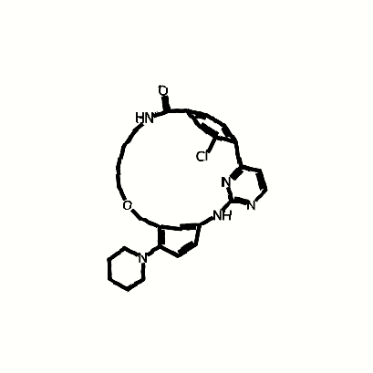 O=C1NCCCCOCc2cc(ccc2N2CCCCC2)Nc2nccc(n2)-c2ccc1cc2Cl